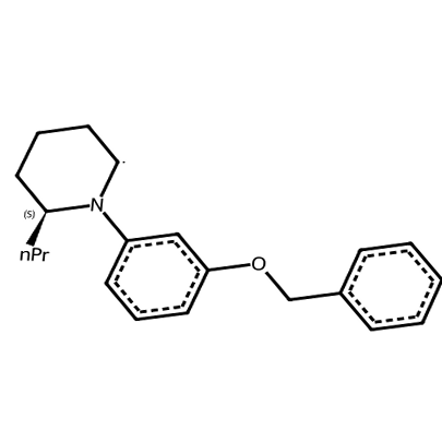 CCC[C@H]1CCC[CH]N1c1cccc(OCc2ccccc2)c1